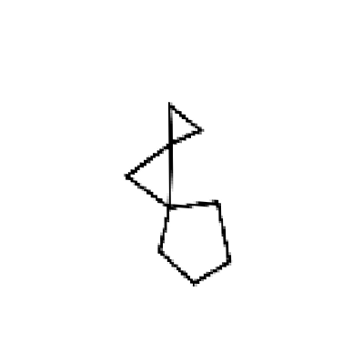 C1CCC2(C1)CC21CC1